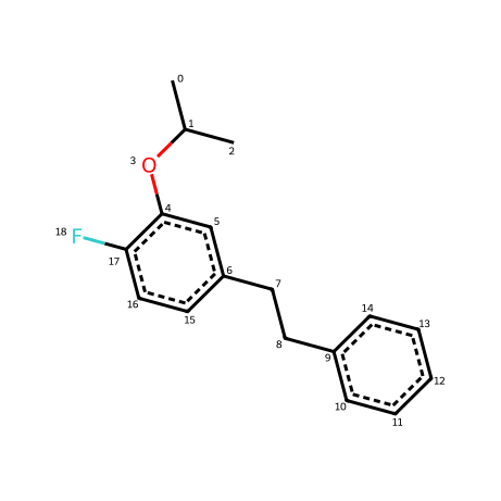 CC(C)Oc1cc(CCc2ccccc2)ccc1F